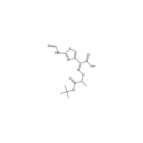 CC(O/N=C(\C(=O)O)c1csc(NC=O)n1)C(=O)OC(C)(C)C